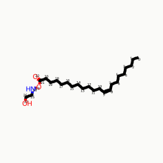 CCCCCCCC/C=C\CCCCCCCCCCCC(=O)ONCCO